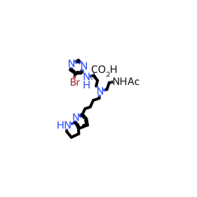 CC(=O)NCCN(CCCCc1ccc2c(n1)NCCC2)CC[C@H](Nc1ncncc1Br)C(=O)O